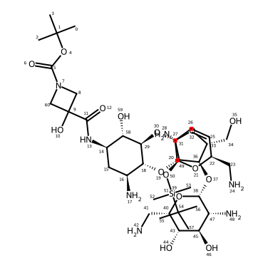 CC(C)(C)OC(=O)N1CC(O)(C(=O)N[C@@H]2C[C@H](N)[C@@H](O[C@H]3O[C@H](CN)C=C[C@H]3N)[C@H](O[C@@H]3O[C@H](CO)[C@@H](O[C@H]4O[C@@H](CN)[C@@H](O)[C@H](O)[C@H]4N)[C@H]3O[Si](C)(C)C(C)(C)C)[C@H]2O)C1